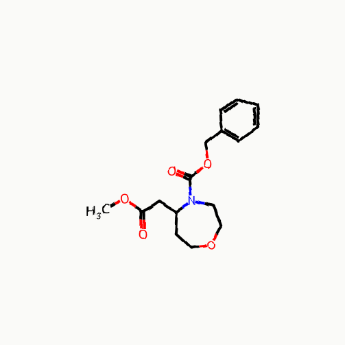 COC(=O)CC1CCOCCN1C(=O)OCc1ccccc1